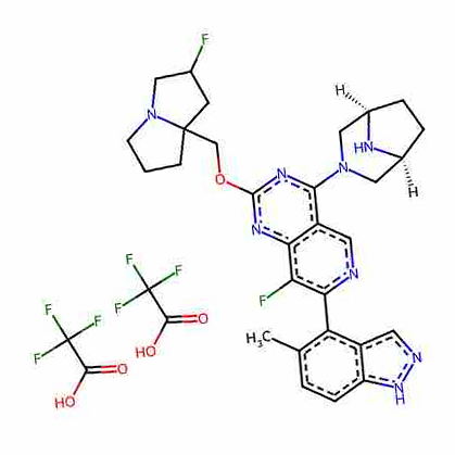 Cc1ccc2[nH]ncc2c1-c1ncc2c(N3C[C@H]4CC[C@@H](C3)N4)nc(OCC34CCCN3CC(F)C4)nc2c1F.O=C(O)C(F)(F)F.O=C(O)C(F)(F)F